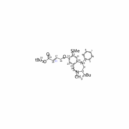 CCCCC1CN(c2ccccc2)c2cc(SC)c(OC/C=C/C(=O)OC(C)(C)C)cc2SN1C